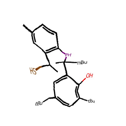 CCCCC(C)(Pc1ccc(C)cc1C(C)S)c1cc(C(C)(C)C)cc(C(C)(C)C)c1O